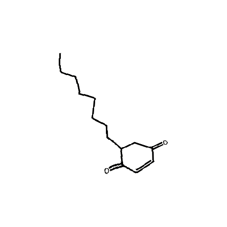 CCCCCCCCC1CC(=O)C=CC1=O